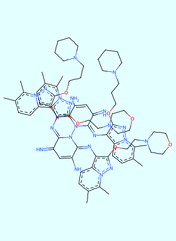 Cc1ccc2c(N=C3C(=N)C=C(N)C(=Nc4c(OCCCN5CCCCC5)nn5c(C)c(C)ccc45)N3N3C(=Nc4c(OCCN5CCOCC5)nn5c(C)c(C)ccc45)C(=N)C=C(N)C3=Nc3c(OCCN4CCOCC4)nn4c(C)c(C)ccc34)c(OCCCN3CCCCC3)nn2c1C